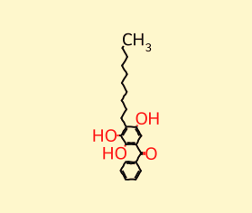 CCCCCCCCCCc1c(O)cc(C(=O)c2ccccc2)c(O)c1O